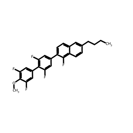 CCCCc1ccc2c(F)c(-c3cc(F)c(-c4cc(F)c(OC)c(F)c4)c(F)c3)ccc2c1